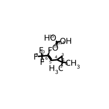 CC1(C)CC1C=C(F)C(F)(F)F.O=C(O)O